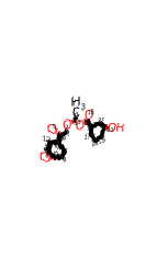 CC(OCC(=O)C1CCC2OC2C1)OC(=O)C1CCCC(O)C1